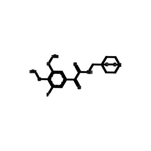 CCCCOc1cc(C(=O)C(=O)NCC23CCN(CC2)CC3)cc(F)c1OCCCC